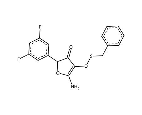 NC1=C(OSCc2ccccc2)C(=O)C(c2cc(F)cc(F)c2)O1